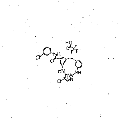 O=C(Nc1cccc(Cl)c1)c1cc2cc(c1)Nc1nc(ncc1Cl)Nc1cccc(c1)CC2.O=C(O)C(F)(F)F